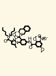 CCCCN(CCCC)C(=O)c1cc(C)n(-c2ccc(NC(=O)c3cc(OC)cc([N+](=O)[O-])c3OC)cc2C(=O)N2Cc3ccccc3C[C@H]2CO)n1